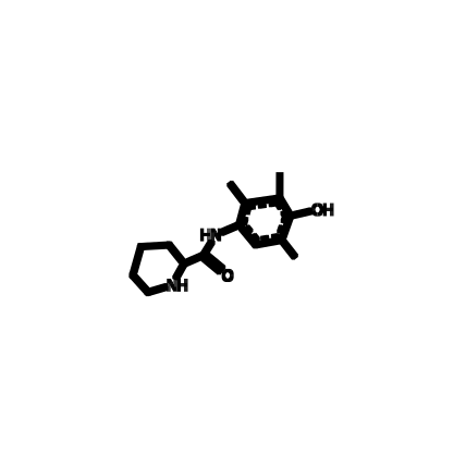 Cc1cc(NC(=O)C2CCCCN2)c(C)c(C)c1O